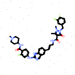 Cc1c(C(=O)NC/C=C/c2ccc3nc(Nc4ccc(C(=O)NC5CCN(C)CC5)c(F)c4)ncc3c2)c(=O)n(Cc2ccc(F)c(F)c2)n1C